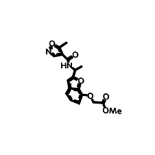 COC(=O)COc1cccc2cc(C(C)NC(=O)c3cnoc3C)oc12